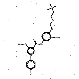 COc1cc(NC(=O)c2nn(-c3ccc(Cl)cc3)cc2CO)ccc1OCOCC[Si](C)(C)C